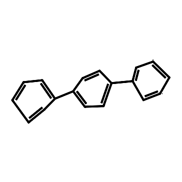 [c]1c[c]cc(-c2ccc(-c3ccccc3)cc2)c1